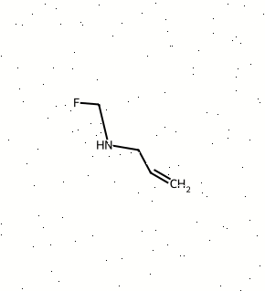 C=CCNCF